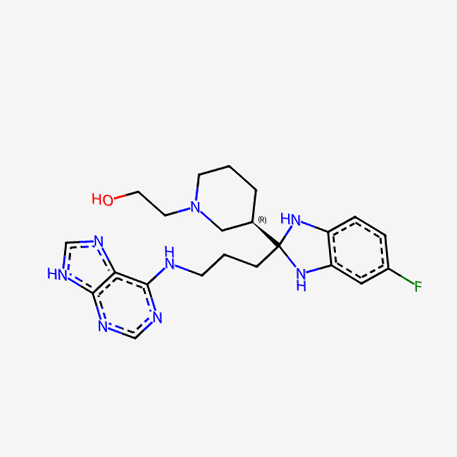 OCCN1CCC[C@@H](C2(CCCNc3ncnc4[nH]cnc34)Nc3ccc(F)cc3N2)C1